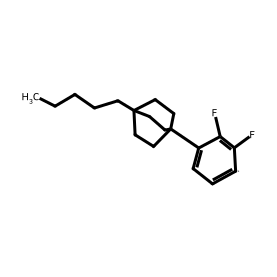 CCCCCC12CCC(c3cc[c]c(F)c3F)(CC1)CC2